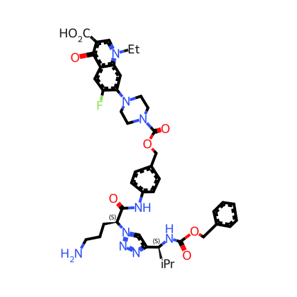 CCn1cc(C(=O)O)c(=O)c2cc(F)c(N3CCN(C(=O)OCc4ccc(NC(=O)[C@H](CCCN)n5cc([C@@H](NC(=O)OCc6ccccc6)C(C)C)nn5)cc4)CC3)cc21